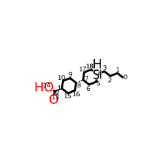 CCCC[SiH]1CCC([C@H]2CC[C@H](C(=O)O)CC2)CC1